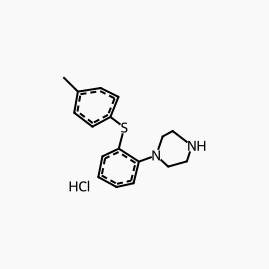 Cc1ccc(Sc2ccccc2N2CCNCC2)cc1.Cl